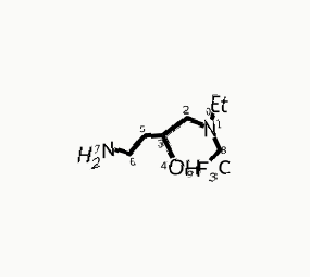 CCN(CC(O)CCN)CC(F)(F)F